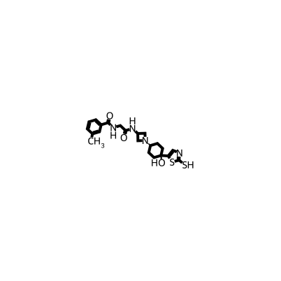 Cc1cccc(C(=O)NCC(=O)NC2CN([C@H]3CC[C@@](O)(c4cnc(S)s4)CC3)C2)c1